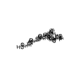 O=C(O)CCCC1CCN(C(=O)CCCC2CCN(C(=O)c3cccc(C(=O)Nc4ccc(N5CCCCC5)cc4-c4cc(C(=O)NCc5cccc(C(F)(F)F)c5)ccn4)c3)CC2)CC1